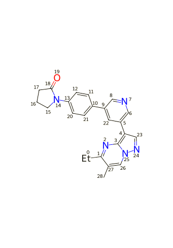 CCc1nc2c(-c3cncc(-c4ccc(N5CCCC5=O)cc4)c3)cnn2cc1C